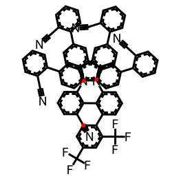 N#Cc1ccccc1-c1ccc2c(c1)c1cc(-c3ccccc3C#N)ccc1n2-c1cccc(C#N)c1-c1c(-c2ccc(C(F)(F)F)cc2C(F)(F)F)cccc1-n1c2ccc(-c3ccccc3C#N)cc2c2cc(-c3ccccc3C#N)ccc21